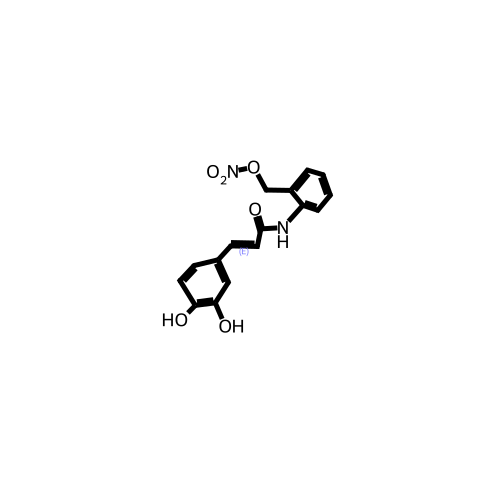 O=C(/C=C/c1ccc(O)c(O)c1)Nc1ccccc1CO[N+](=O)[O-]